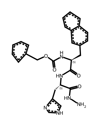 NNC(=O)[C@H](Cc1c[nH]cn1)NC(=O)[C@H](Cc1ccc2ccccc2c1)NC(=O)OCc1ccccc1